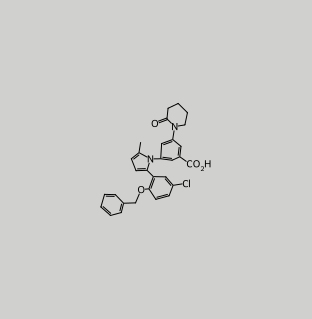 Cc1ccc(-c2cc(Cl)ccc2OCc2ccccc2)n1-c1cc(C(=O)O)cc(N2CCCCC2=O)c1